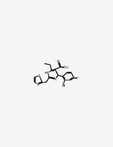 CCC1=C(C(=O)O)C(c2ccc(F)cc2Br)N=C(Cc2nccs2)N1